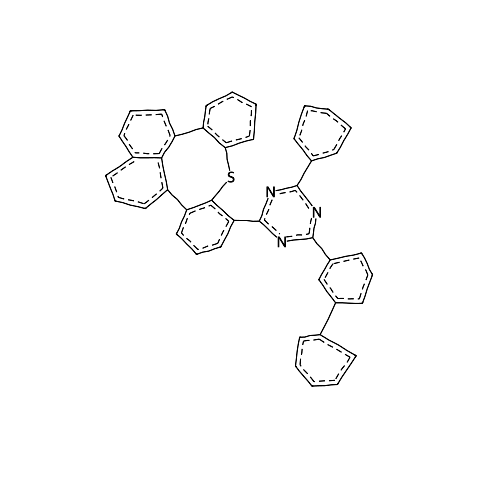 c1ccc(-c2cccc(-c3nc(-c4ccccc4)nc(-c4cccc5c4Sc4ccccc4-c4cccc6cccc-5c46)n3)c2)cc1